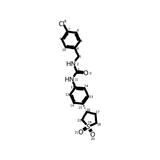 O=C(NCc1ccc(Cl)cc1)Nc1ccc([C@@H]2CCS(=O)(=O)C2)cc1